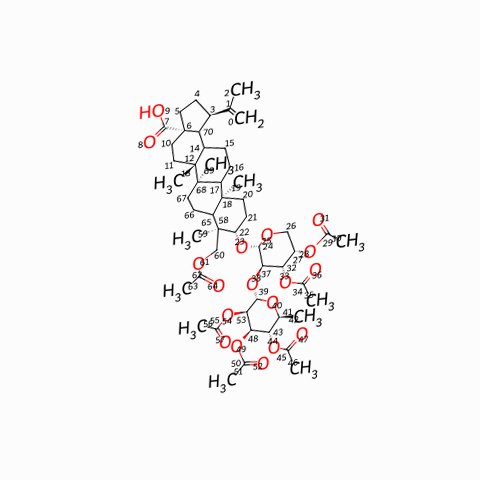 C=C(C)[C@@H]1CC[C@]2(C(=O)O)CC[C@]3(C)C(CCC4[C@@]5(C)CC[C@H](O[C@@H]6OC[C@H](OC(C)=O)[C@H](OC(C)=O)[C@H]6O[C@@H]6O[C@@H](C)[C@H](OC(C)=O)[C@@H](OC(C)=O)[C@H]6OC(C)=O)[C@@](C)(COC(C)=O)C5CC[C@]43C)C12